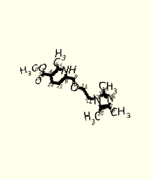 COC(=O)C1=C(C)NC(COCCn2c(C)nc(C)c2C)=CC1